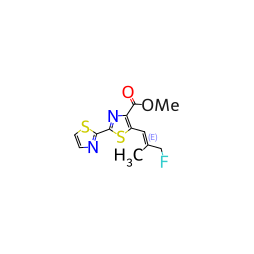 COC(=O)c1nc(-c2nccs2)sc1/C=C(\C)CF